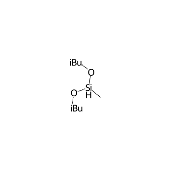 CCC(C)O[SiH](C)OC(C)CC